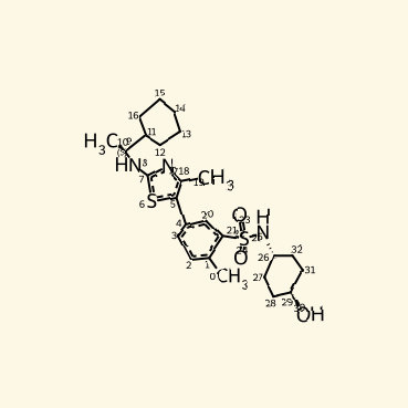 Cc1ccc(-c2sc(N[C@@H](C)C3CCCCC3)nc2C)cc1S(=O)(=O)N[C@H]1CC[C@H](O)CC1